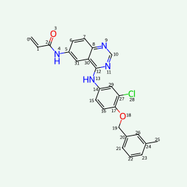 C=CC(=O)Nc1ccc2ncnc(Nc3ccc(OCc4cccc(C)c4)c(Cl)c3)c2c1